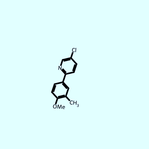 COc1ccc(-c2ccc(Cl)cn2)cc1C